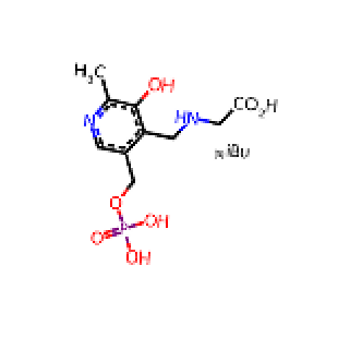 CC[C@H](C)C(NCc1c(COP(=O)(O)O)cnc(C)c1O)C(=O)O